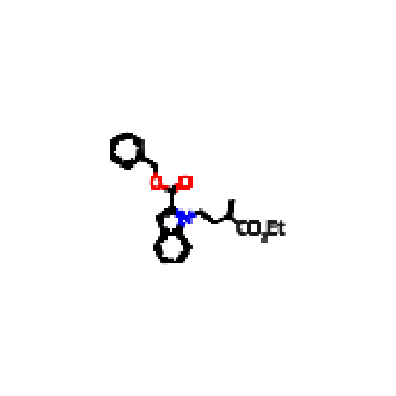 CCOC(=O)C(C)CCn1c(C(=O)OCc2ccccc2)cc2ccccc21